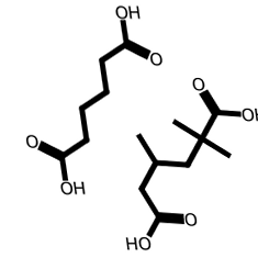 CC(CC(=O)O)CC(C)(C)C(=O)O.O=C(O)CCCCC(=O)O